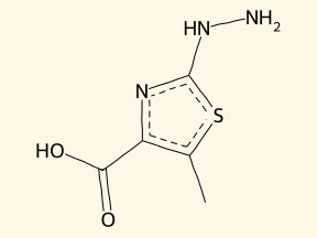 Cc1sc(NN)nc1C(=O)O